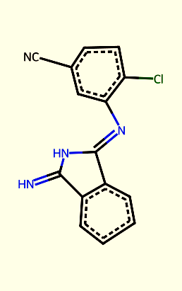 N#Cc1ccc(Cl)c(N=C2NC(=N)c3ccccc32)c1